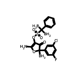 BC1(c2cc(F)cc(Cl)c2)OC(N)=C(OS(=O)(=O)C(B)(B)c2ccccc2)C1=O